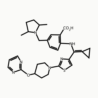 CC1CCC(C)N1Cc1ccc(NC(=C2CC2)c2csc(N3CCC(Oc4ncccn4)CC3)n2)c(C(=O)O)c1